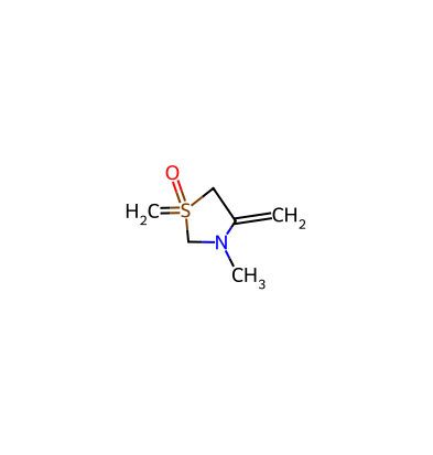 C=C1CS(=C)(=O)CN1C